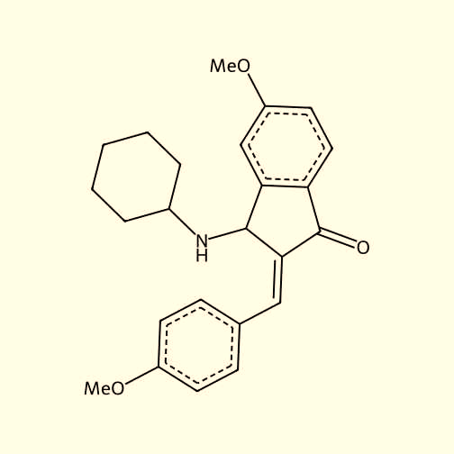 COc1ccc(/C=C2/C(=O)c3ccc(OC)cc3C2NC2CCCCC2)cc1